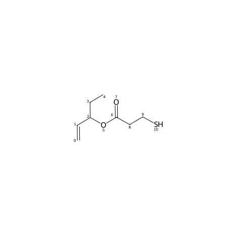 C=CC(CC)OC(=O)CCS